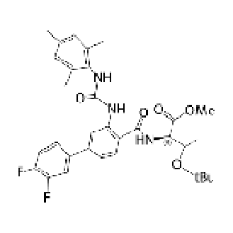 COC(=O)[C@H](NC(=O)c1ccc(-c2ccc(F)c(F)c2)cc1NC(=O)Nc1c(C)cc(C)cc1C)C(C)OC(C)(C)C